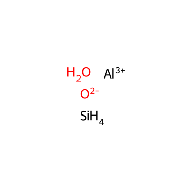 O.[Al+3].[O-2].[SiH4]